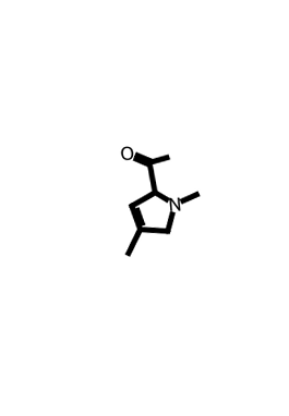 CC(=O)C1C=C(C)CN1C